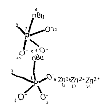 CCCCP(C)([O-])([O-])[O-].CCCCP(C)([O-])([O-])[O-].[Zn+2].[Zn+2].[Zn+2]